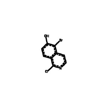 Oc1ccc2c(Cl)nccc2c1Br